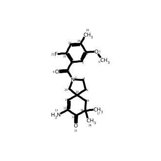 COc1cc(C(=O)N2CCC3(C=C(N)C(=O)C(C)(C)C3)C2)c(F)cc1C